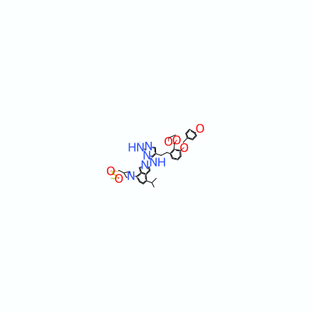 CNc1ncc(CCc2cccc(OCc3ccc(OC)cc3)c2C2OCCO2)c(Nc2cc3c(C(C)C)ccc(N4CC(CS(C)(=O)=O)C4)c3cn2)n1